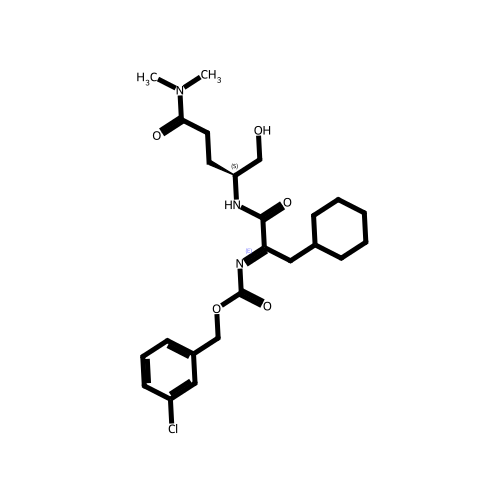 CN(C)C(=O)CC[C@@H](CO)NC(=O)/C(CC1CCCCC1)=N/C(=O)OCc1cccc(Cl)c1